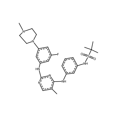 Cc1cnc(Nc2cc(F)cc(N3CCN(C)CC3)c2)nc1Nc1cccc(NS(=O)(=O)C(C)(C)C)c1